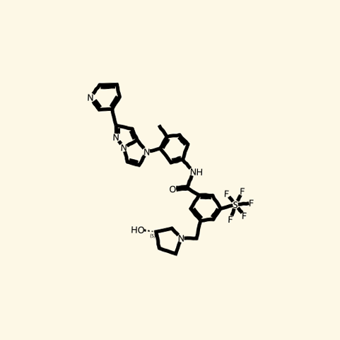 Cc1ccc(NC(=O)c2cc(CN3CC[C@H](O)C3)cc(S(F)(F)(F)(F)F)c2)cc1-n1ccn2nc(-c3cccnc3)cc12